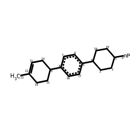 CCCC1CCC(c2ccc(C3CC=C(C)CC3)cc2)CC1